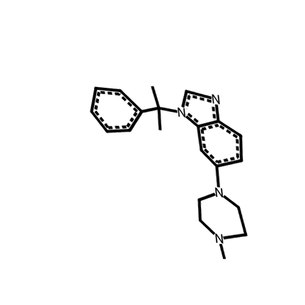 CN1CCN(c2ccc3ncn(C(C)(C)c4ccccc4)c3c2)CC1